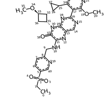 CCS(=O)(=O)c1ccc(CNc2nc3cnc(-c4c(OC)ncnc4C4CC4)nc3n([C@H]3C[C@H](OC)C3)c2=O)nc1